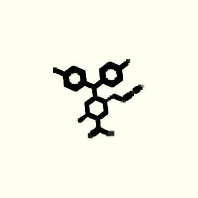 C[C@H]1CN(C(c2ccc(F)cc2)c2ccc(F)cc2)[C@H](CN=[N+]=[N-])CN1C(=O)O